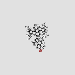 CC(C)c1cc2c3cccc4c(Br)ccc(c5c(C(C)C)cc6c(c1-c1cc7c(-c8cc(C(C)(C)C)cc(C(C)(C)C)c8)c8ccccc8c(-c8cc(C(C)(C)C)cc(C(C)(C)C)c8)c7cc1-6)c25)c43